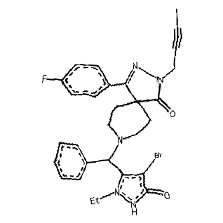 CC#CCN1N=C(c2ccc(F)cc2)C2(CCN(C(c3ccccc3)c3c(Br)c(=O)[nH]n3CC)CC2)C1=O